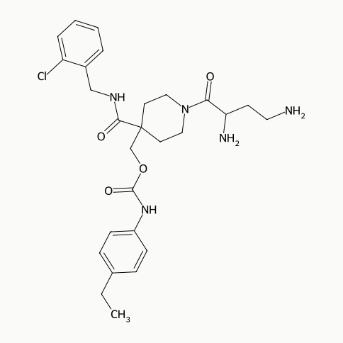 CCc1ccc(NC(=O)OCC2(C(=O)NCc3ccccc3Cl)CCN(C(=O)C(N)CCN)CC2)cc1